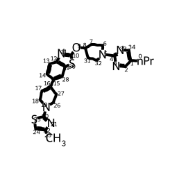 CCCc1cnc(N2CCC(Oc3nc4ccc(C5=CCN(c6nc(C)cs6)CC5)cc4s3)CC2)nc1